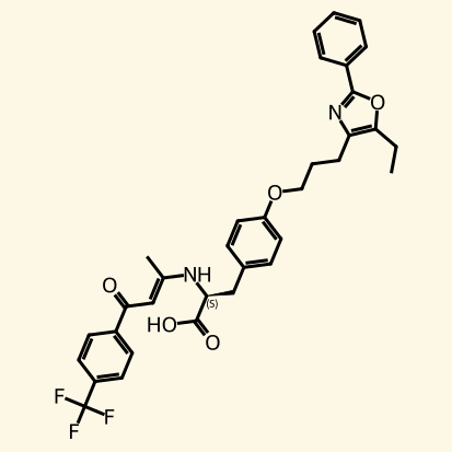 CCc1oc(-c2ccccc2)nc1CCCOc1ccc(C[C@H](NC(C)=CC(=O)c2ccc(C(F)(F)F)cc2)C(=O)O)cc1